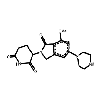 COc1nc(N2CCNCC2)cc2c1C(=O)N(C1CCC(=O)NC1=O)C2